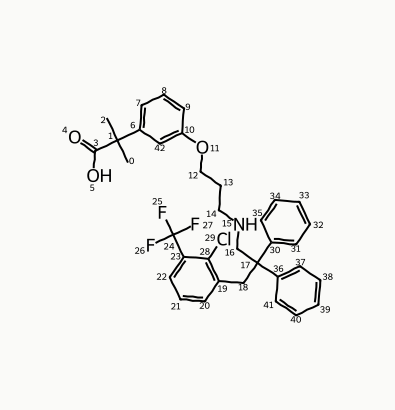 CC(C)(C(=O)O)c1cccc(OCCCNCC(Cc2cccc(C(F)(F)F)c2Cl)(c2ccccc2)c2ccccc2)c1